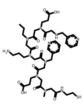 CCCN(CC(=O)N(CCCN)CC(=O)N(CC(=O)N(CCC(=O)O)CC(=O)N(C)CC(=O)NCCS)Cc1cccnc1)C(=O)CN(CCC(=O)O)C(=O)CNCc1cccnc1